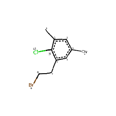 Cc1cc(C#N)cc(CCBr)c1Cl